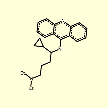 CCN(CC)CCCC(Nc1c2ccccc2nc2ccccc12)C1CC1